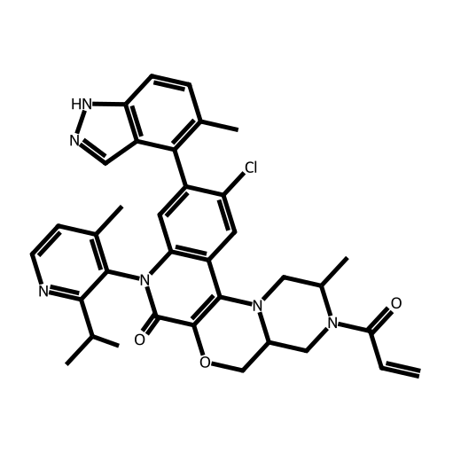 C=CC(=O)N1CC2COc3c(c4cc(Cl)c(-c5c(C)ccc6[nH]ncc56)cc4n(-c4c(C)ccnc4C(C)C)c3=O)N2CC1C